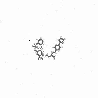 CCCC1=CC(CC(C)(Oc2ccccc2)C(=O)O)CC=C1OCCc1nc(-c2ccc(-c3cccs3)cc2)oc1C